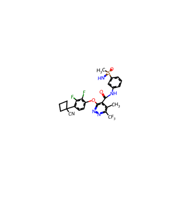 Cc1c(C(F)(F)F)nnc(Oc2ccc(C3(C#N)CCC3)c(F)c2F)c1C(=O)Nc1cccc(S(C)(=N)=O)c1